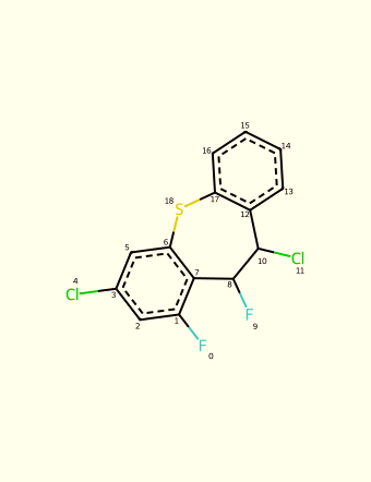 Fc1cc(Cl)cc2c1C(F)C(Cl)c1ccccc1S2